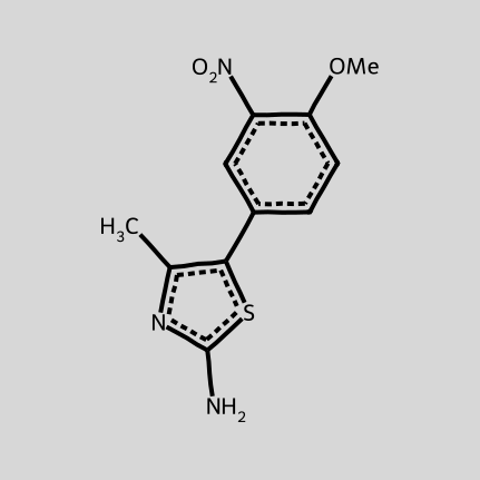 COc1ccc(-c2sc(N)nc2C)cc1[N+](=O)[O-]